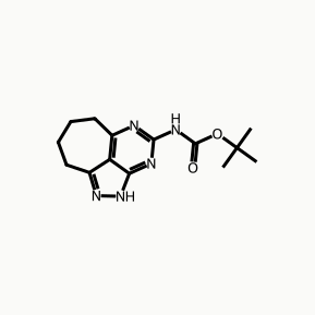 CC(C)(C)OC(=O)Nc1nc2c3c(n[nH]c3n1)CCCC2